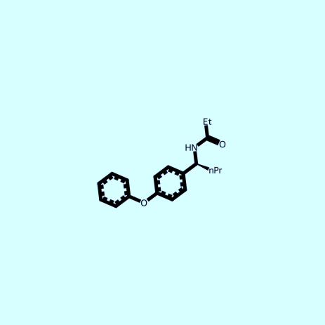 CCC[C@H](NC(=O)CC)c1ccc(Oc2ccccc2)cc1